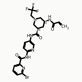 C=CC(=O)N[C@H]1C[C@@H](C(=O)Nc2ccc(NC(=O)c3cccc(Br)n3)nc2)CN(CC(F)(F)F)C1